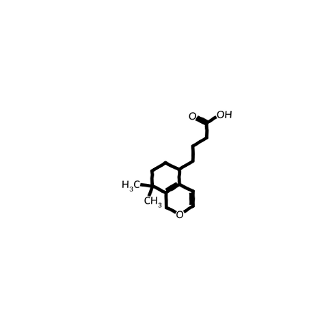 CC1(C)CCC(CCCC(=O)O)C2=C1COC=C2